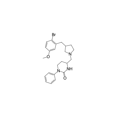 COc1ccc(Br)c(CC2CCN(CC3CCN(c4ccccc4)C(=O)N3)C2)c1